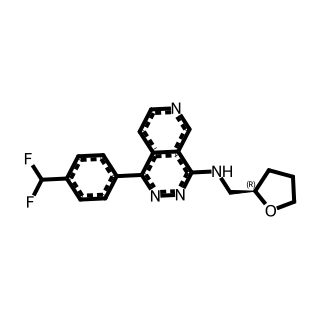 FC(F)c1ccc(-c2nnc(NC[C@H]3CCCO3)c3cnccc23)cc1